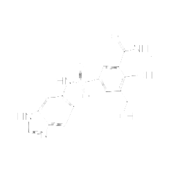 CCc1cc(S(=O)(=O)Nc2ccc3nc[nH]c3c2)cc(C(N)=O)c1O